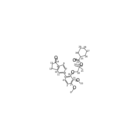 COc1ccc(-c2ccc3c(c2)CCC3=O)c(OCC(C)(C)OC(=O)C2CCCCC2)c1OC